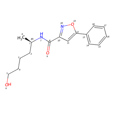 C[C@H](CCCCO)NC(=O)c1cc(-c2ccccc2)on1